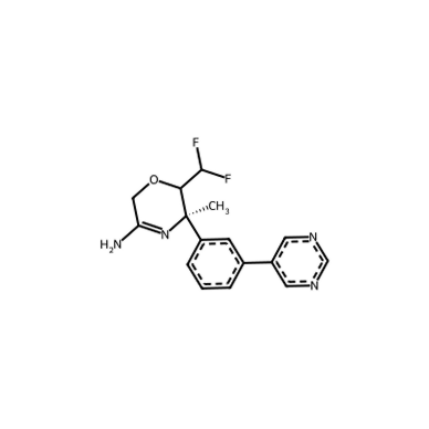 C[C@]1(c2cccc(-c3cncnc3)c2)N=C(N)COC1C(F)F